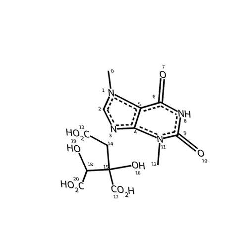 Cn1cnc2c1c(=O)[nH]c(=O)n2C.O=C(O)CC(O)(C(=O)O)C(O)C(=O)O